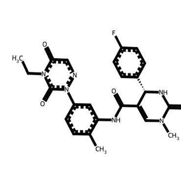 CCn1c(=O)cnn(-c2ccc(C)c(NC(=O)C3=CN(C)C(=O)N[C@H]3c3ccc(F)cc3)c2)c1=O